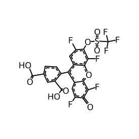 O=C(O)c1ccc(-c2c3cc(F)c(=O)c(F)c-3oc3c(F)c(OS(=O)(=O)C(F)(F)F)c(F)cc23)c(C(=O)O)c1